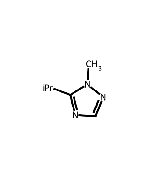 CC(C)c1ncnn1C